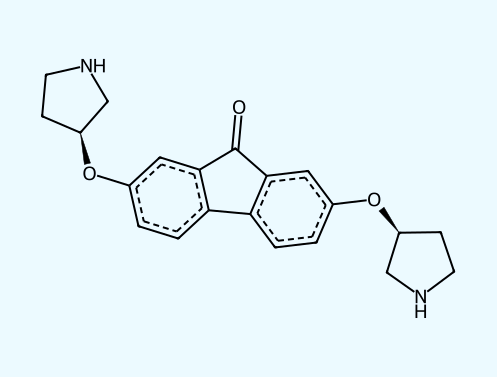 O=C1c2cc(O[C@H]3CCNC3)ccc2-c2ccc(O[C@H]3CCNC3)cc21